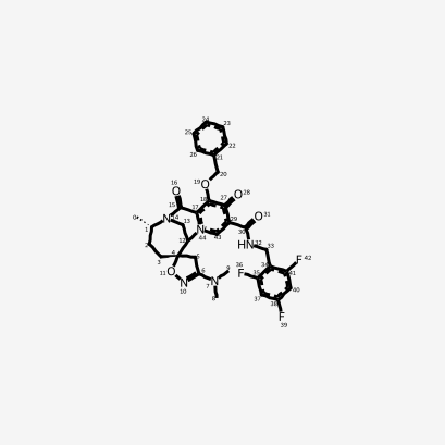 C[C@H]1CC[C@]2(CC(N(C)C)=NO2)C2CN1C(=O)c1c(OCc3ccccc3)c(=O)c(C(=O)NCc3c(F)cc(F)cc3F)cn12